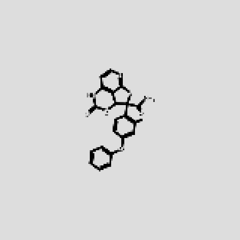 Cc1cc(Oc2ccccc2)ccc1C1(C(N)=O)Sc2nccc3c2C1NC(=O)N3